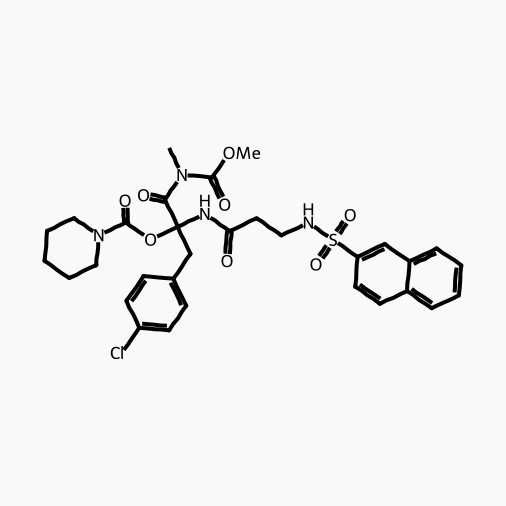 COC(=O)N(C)C(=O)C(Cc1ccc(Cl)cc1)(NC(=O)CCNS(=O)(=O)c1ccc2ccccc2c1)OC(=O)N1CCCCC1